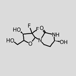 O=C1N[C@@H](O)CCN1C1OC(CO)[C@@H](O)C1(F)F